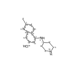 Cc1ccc2c(NC3CCNCC3)cccc2n1.Cl